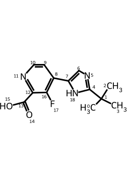 CC(C)(C)c1ncc(-c2ccnc(C(=O)O)c2F)[nH]1